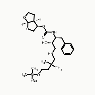 CC(C)(CCO[Si](C)(C)C(C)(C)C)CNC[C@@H](O)[C@H](Cc1ccccc1)NC(=O)O[C@H]1CO[C@H]2OCC[C@H]21